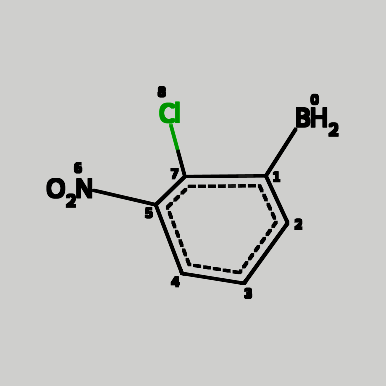 Bc1cccc([N+](=O)[O-])c1Cl